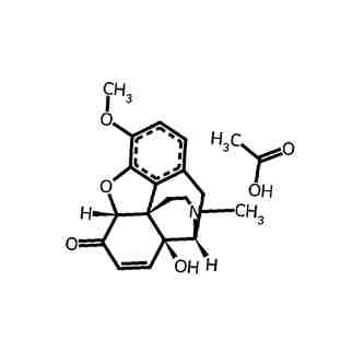 CC(=O)O.COc1ccc2c3c1O[C@H]1C(=O)C=C[C@@]4(O)[C@@H](C2)N(C)CC[C@]314